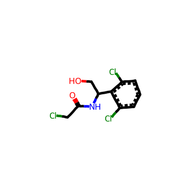 O=C(CCl)NC(CO)c1c(Cl)cccc1Cl